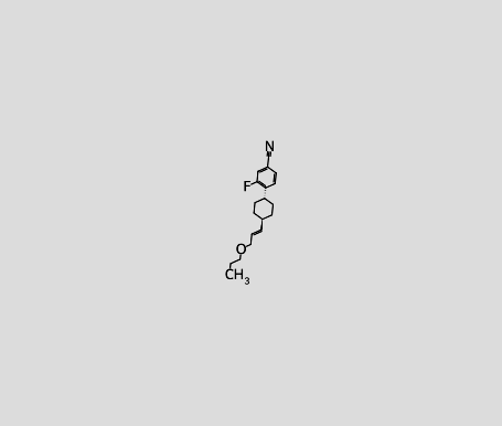 CCCOC/C=C/[C@H]1CC[C@H](c2ccc(C#N)cc2F)CC1